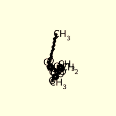 C=C1C(=O)N(C(C(=O)Nc2cc(C(=O)OCCCCCCCCCCCCCC)ccc2Cl)C(=O)c2ccc(OC)cc2)C(=O)N1C